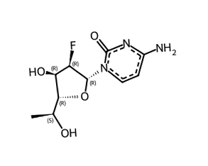 C[C@H](O)[C@H]1O[C@@H](n2ccc(N)nc2=O)[C@H](F)[C@@H]1O